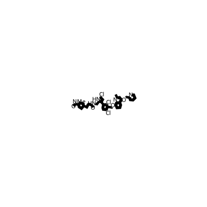 CNC(=O)c1ccc(C=CC(=O)NCc2[nH]c(Cl)cc2-c2ccc(Cl)c(COc3cccc4c(OCc5ccccn5)cc(C)nc34)c2Cl)cc1